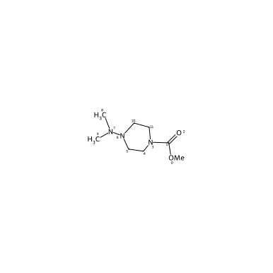 COC(=O)N1CCN(N(C)C)CC1